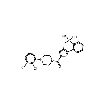 O=C(c1cc2c(s1)-c1ccccc1S(O)(O)C2)N1CCN(c2cccc(Cl)c2Cl)CC1